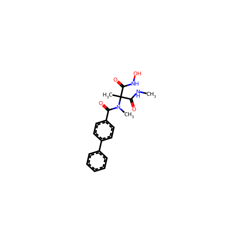 CNC(=O)C(C)(C(=O)NO)N(C)C(=O)c1ccc(-c2ccccc2)cc1